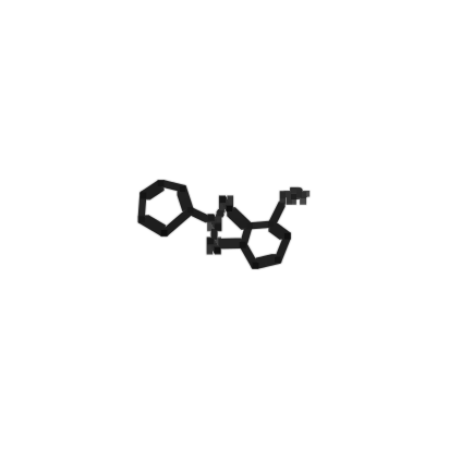 CCCc1cccc2nn(-c3ccccc3)nc12